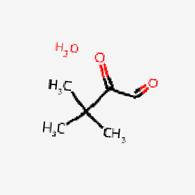 CC(C)(C)C(=O)C=O.O